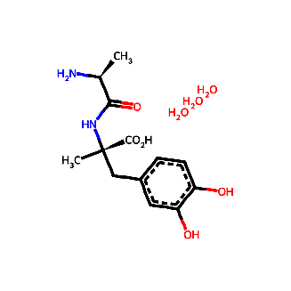 C[C@H](N)C(=O)N[C@@](C)(Cc1ccc(O)c(O)c1)C(=O)O.O.O.O